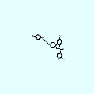 O=C(c1ccnc(Cl)c1)N1CC2(CCN(CCCOc3ccc(F)cc3)CC2)c2cc(Cl)ccc21